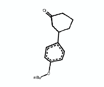 CCCCOc1ccc(C2CCCC(=O)C2)cc1